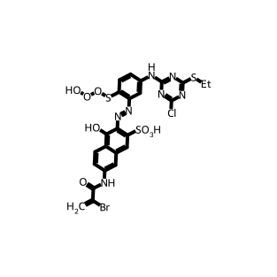 C=C(Br)C(=O)Nc1ccc2c(O)c(N=Nc3cc(Nc4nc(Cl)nc(SCC)n4)ccc3SOOO)c(S(=O)(=O)O)cc2c1